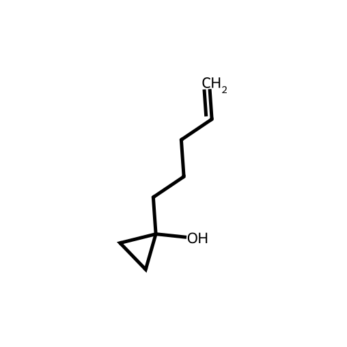 C=CCCCC1(O)CC1